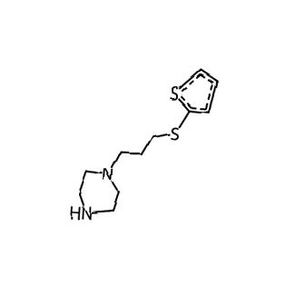 c1csc(SCCCN2CCNCC2)c1